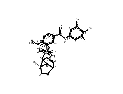 O=C(Nc1cc(F)c(F)c(F)c1)c1ccc(Cl)c(S(=O)(=O)[C@@H]2CC3CC[C@@H](C2)[C@@]3(O)C[N+]2([O-])C[C@@H](O)[C@H](O)C2)c1